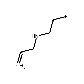 C=CCNCCF